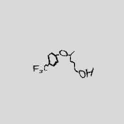 CC(CCCO)Oc1ccc(C(F)(F)F)cc1